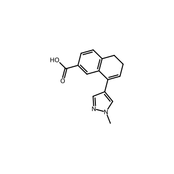 Cn1cc(C2=CCCc3ccc(C(=O)O)cc32)cn1